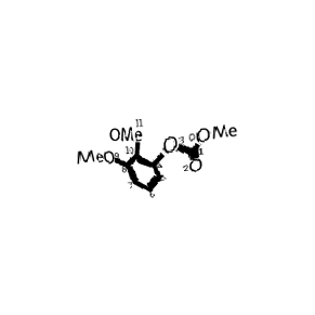 COC(=O)Oc1[c]ccc(OC)c1OC